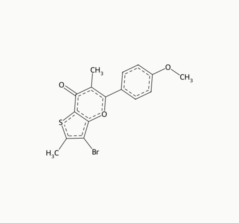 COc1ccc(-c2oc3c(Br)c(C)sc3c(=O)c2C)cc1